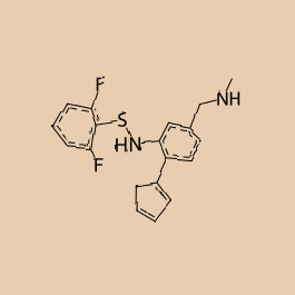 CNCc1ccc(C2=CC=CC2)c(NSc2c(F)cccc2F)c1